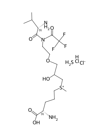 CC(C)[C@H](N)C(=O)N(CCOCC(O)C[S+](C)CCC[C@H](N)C(=O)O)C(=O)C(F)(F)F.Cl.S.[Cl-]